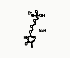 CCOP(=O)(O)COCOCOc1ncc(C)c(=O)[nH]1.[NaH]